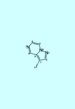 Ic1cnn2ccncc12